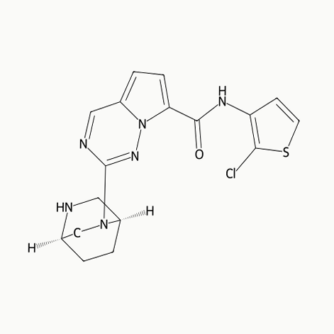 O=C(Nc1ccsc1Cl)c1ccc2cnc(N3C[C@H]4CC[C@@H]3CN4)nn12